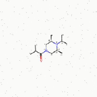 CC(C)C(=O)N1C[C@@H](C)N(C(C)C)[C@@H](C)C1